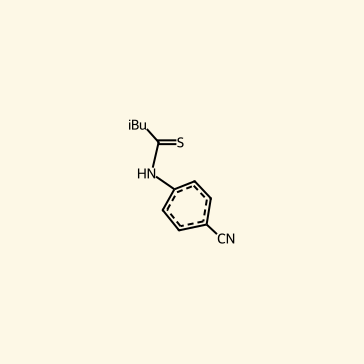 CCC(C)C(=S)Nc1ccc(C#N)cc1